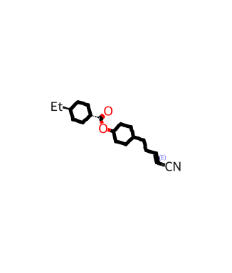 CC[C@H]1CC[C@H](C(=O)OC2CCC(CC/C=C/C#N)CC2)CC1